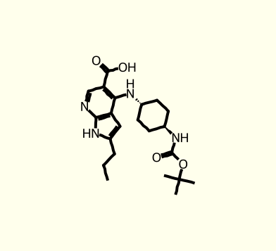 CCCc1cc2c(N[C@H]3CC[C@H](NC(=O)OC(C)(C)C)CC3)c(C(=O)O)cnc2[nH]1